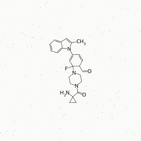 Cc1cc2ccccc2n1C1=CC(F)(N2CCN(C(=O)C3(N)CC3)CC2)C(C=O)C=C1